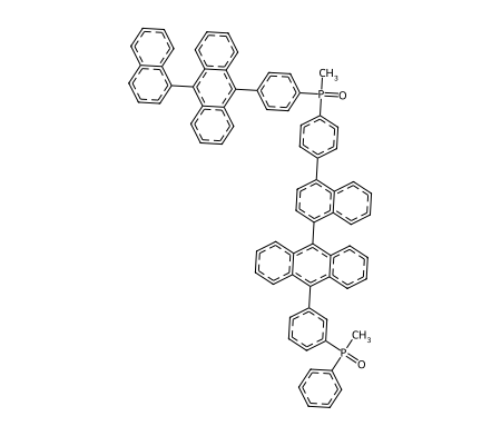 CP(=O)(c1ccc(-c2ccc(-c3c4ccccc4c(-c4cccc(P(C)(=O)c5ccccc5)c4)c4ccccc34)c3ccccc23)cc1)c1ccc(-c2c3ccccc3c(-c3cccc4ccccc34)c3ccccc23)cc1